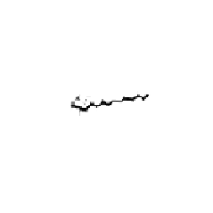 CCCCCCCCCCCCC(N)(C(=O)O)N(C)C